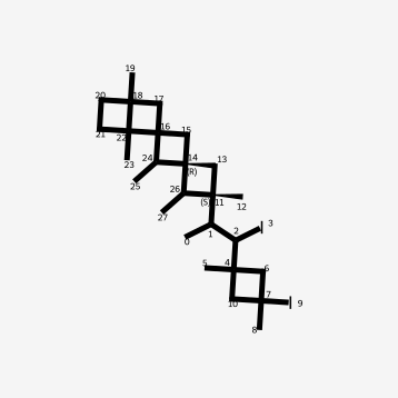 CC(C(I)C1(C)CC(C)(I)C1)[C@@]1(C)C[C@@]2(CC3(CC4(C)CCC43C)C2C)C1C